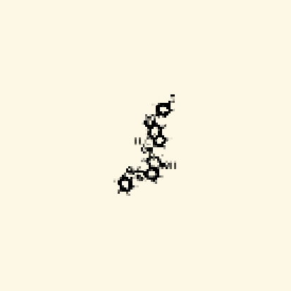 C[C@]12Cc3cnn(-c4ccc(F)cc4)c3C=C1CC[C@@H]2C(=O)N(CCO)Cc1ccccc1CS(=O)(=O)c1ccccc1